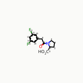 O=C(O)C1CCCN1C(=O)Cc1cc(F)cc(F)c1